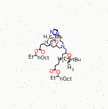 CCCCCCCCC(CC)OC(=O)CCCCCC(CN(CCCn1ccnc1)CC(CCCCCC(=O)OC(CC)CCCCCCCC)O[Si](C)(C)C(C)(C)C)O[Si](C)(C)C(C)(C)C